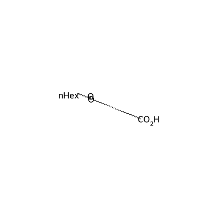 CCCCCC/C=C\CCCCCCCC(=O)OCCCCCCCCCCCCCCCCCCCCCCCCCCCCCCCCCCCC(=O)O